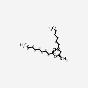 C=C(CCCCCCCC)OC(=C)CCCCCCCC